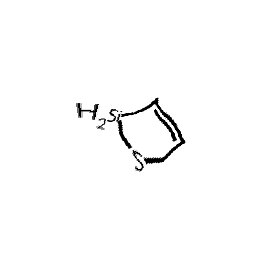 C1=CS[SiH2]1